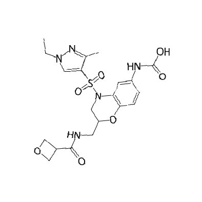 CCn1cc(S(=O)(=O)N2CC(CNC(=O)C3COC3)Oc3ccc(NC(=O)O)cc32)c(C)n1